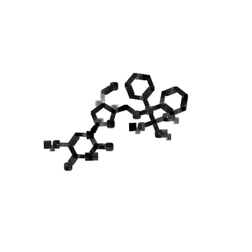 Cc1cn([C@H]2C[C@H](C=O)[C@@H](CO[Si](c3ccccc3)(c3ccccc3)C(C)(C)C)O2)c(=O)[nH]c1=O